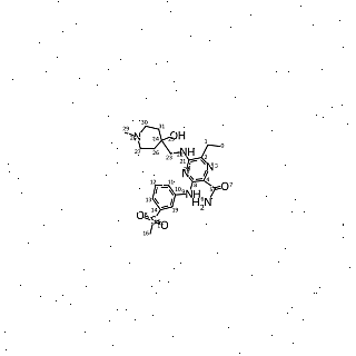 CCc1nc(C(N)=O)c(Nc2cccc(S(C)(=O)=O)c2)nc1NCC1(O)CCN(C)CC1